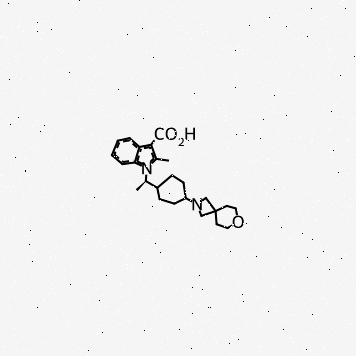 Cc1c(C(=O)O)c2ccccc2n1[C@H](C)C1CCC(N2CC3(CCOCC3)C2)CC1